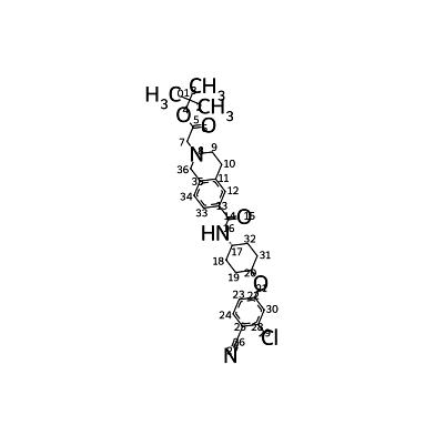 CC(C)(C)OC(=O)CN1CCc2cc(C(=O)N[C@H]3CC[C@H](Oc4ccc(C#N)c(Cl)c4)CC3)ccc2C1